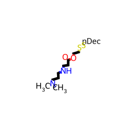 CCCCCCCCCCSSCCOC(=O)CCNCCCN(C)C